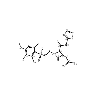 COc1cc(C)c(S(=O)(=O)NCN2NC(CC(N)=O)[C]2C(=O)Nc2nccs2)c(C)c1C